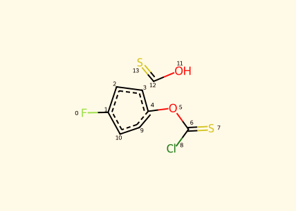 Fc1ccc(OC(=S)Cl)cc1.OC=S